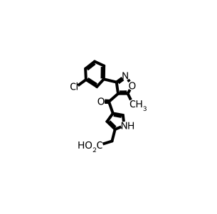 Cc1onc(-c2cccc(Cl)c2)c1C(=O)c1c[nH]c(CC(=O)O)c1